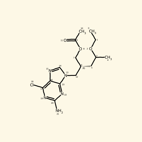 CCOC(C)C[C@@H](COC(C)=O)Cn1cnc2c(Cl)nc(N)nc21